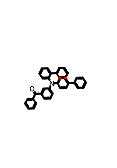 O=C(c1ccccc1)c1cccc(N(c2ccc(-c3ccccc3)cc2)c2ccccc2-c2ccccc2)c1